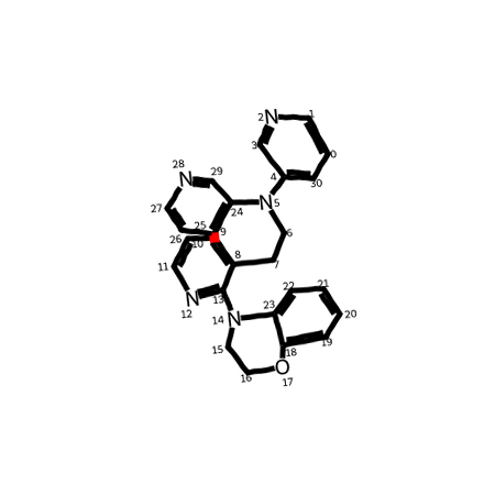 c1cncc(N(CCc2cccnc2N2CCOc3ccccc32)c2cccnc2)c1